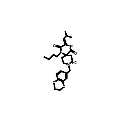 CCCCN1C(=O)/C(=C/C(C)C)NC(=O)C12CCN(Cc1ccc3c(c1)OCCO3)CC2.Cl